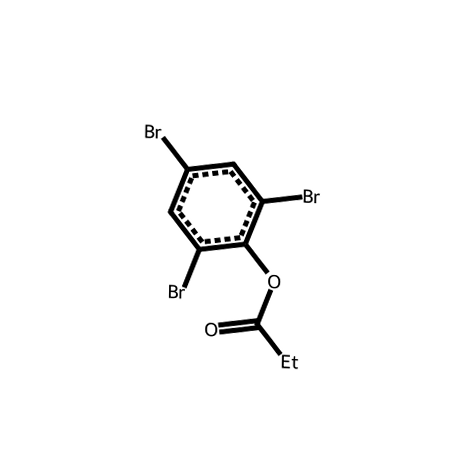 CCC(=O)Oc1c(Br)cc(Br)cc1Br